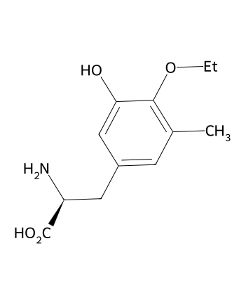 CCOc1c(C)cc(C[C@H](N)C(=O)O)cc1O